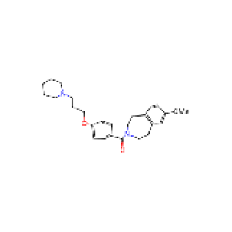 COc1ccc2c(c1)CCN(C(=O)c1ccc(OCCCN3CCCCC3)cc1)CC2